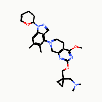 COc1nc(OCC2(CN(C)C)CC2)nc2c1CCN(c1c(C)c(C)cc3c1cnn3C1CCCCO1)C2